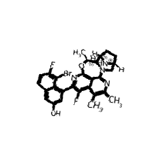 Cc1nc2c3c(nc(-c4cc(O)cc5ccc(F)c(Br)c45)c(F)c3c1C)O[C@@H](C)[C@@H]1[C@@H]3CC[C@H](CN21)N3